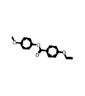 C=COc1ccc(C(=O)Oc2ccc(OC)cc2)cc1